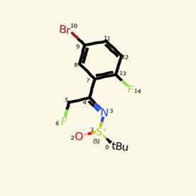 CC(C)(C)[S@@+]([O-])N=C(CF)c1cc(Br)ccc1F